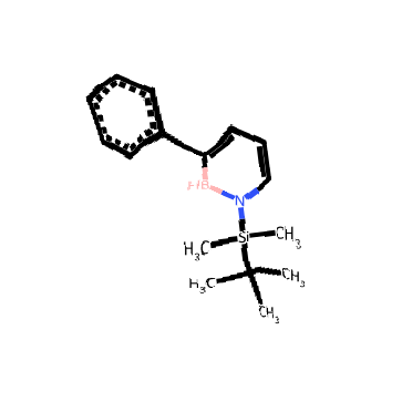 CC(C)(C)[Si](C)(C)N1BC(c2ccccc2)=CC=C1